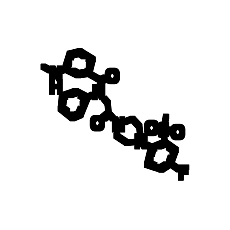 CNc1cccc(C(=O)N(CC(=O)N2CCN(c3ccc(F)cc3S(C)(=O)=O)CC2)c2ccccc2)c1